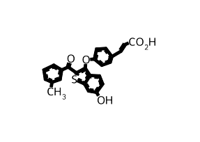 Cc1cccc(C(=O)c2sc3cc(O)ccc3c2Oc2ccc(/C=C/C(=O)O)cc2)c1